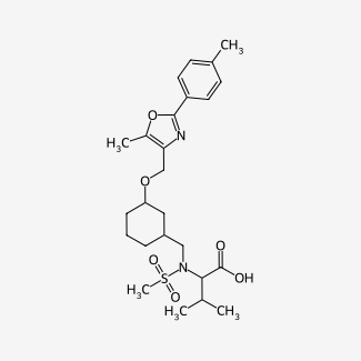 Cc1ccc(-c2nc(COC3CCCC(CN(C(C(=O)O)C(C)C)S(C)(=O)=O)C3)c(C)o2)cc1